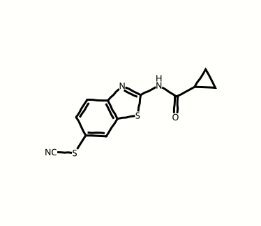 N#CSc1ccc2nc(NC(=O)C3CC3)sc2c1